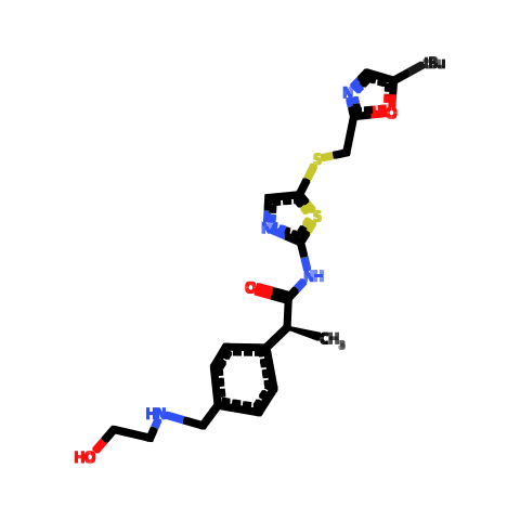 C[C@H](C(=O)Nc1ncc(SCc2ncc(C(C)(C)C)o2)s1)c1ccc(CNCCO)cc1